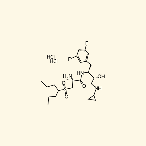 CCCC(CCC)S(=O)(=O)C[C@@H](N)C(=O)N[C@@H](Cc1cc(F)cc(F)c1)[C@H](O)CNC1CC1.Cl.Cl